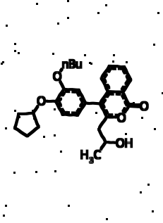 CCCCOc1cc(-c2c(CC(C)O)oc(=O)c3ccccc23)ccc1OC1CCCC1